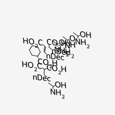 CC(N)O.CC(N)O.CC(N)O.CC(N)O.CCCCCCCCCCC=CC(=O)O.CCCCCCCCCCCC(=O)O.CCCCCCCCCCCC(C(=O)O)C(=O)O.O=C(O)C1CCCCC1